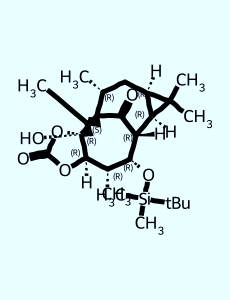 CC1=CC23C(=O)[C@@H]([C@H](O[Si](C)(C)C(C)(C)C)[C@H](C)[C@H]4OC(=O)O[C@]42[C@H]1O)[C@H]1[C@@H](C[C@H]3C)C1(C)C